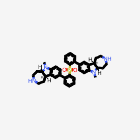 CN1c2ccc(-c3ccccc3S(=O)(=O)c3ccccc3-c3ccc4c(c3)[C@H]3CCNCC[C@@H]3N4C)cc2[C@H]2CCNCC[C@@H]21